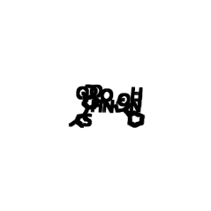 Cc1csc(-c2cc3c(c(C(=O)N[C@@H](CO)Cc4c[nH]c5ccccc45)c2)OCCO3)c1